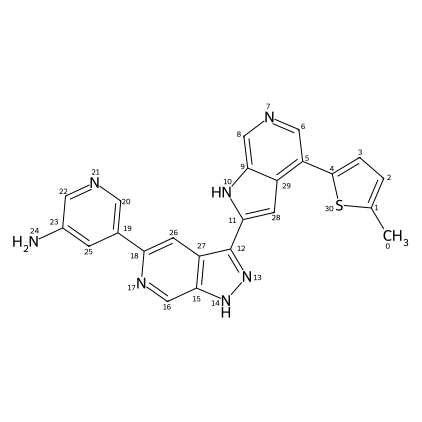 Cc1ccc(-c2cncc3[nH]c(-c4n[nH]c5cnc(-c6cncc(N)c6)cc45)cc23)s1